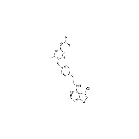 Cc1cc(OC(F)F)cnc1Oc1ccc(CCNc2ncnc3scc(Cl)c23)cc1